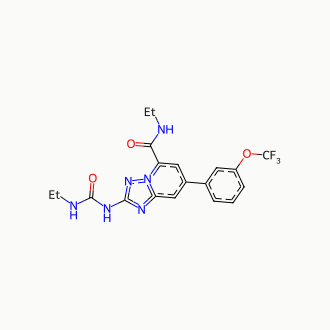 CCNC(=O)Nc1nc2cc(-c3cccc(OC(F)(F)F)c3)cc(C(=O)NCC)n2n1